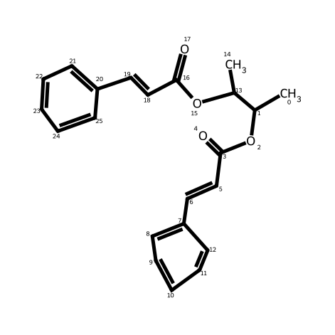 CC(OC(=O)/C=C/c1ccccc1)C(C)OC(=O)/C=C/c1ccccc1